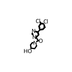 O=C(c1cc(-c2ccc(Cl)c(Cl)c2)ncn1)N1CCC(O)CC1